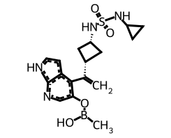 C=C(c1c(OB(C)O)cnc2[nH]ccc12)[C@H]1C[C@@H](NS(=O)(=O)NC2CC2)C1